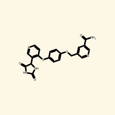 NC(=O)c1cncc(COc2ccc(Sc3ccncc3C3NC(=O)NC3=O)cc2)c1